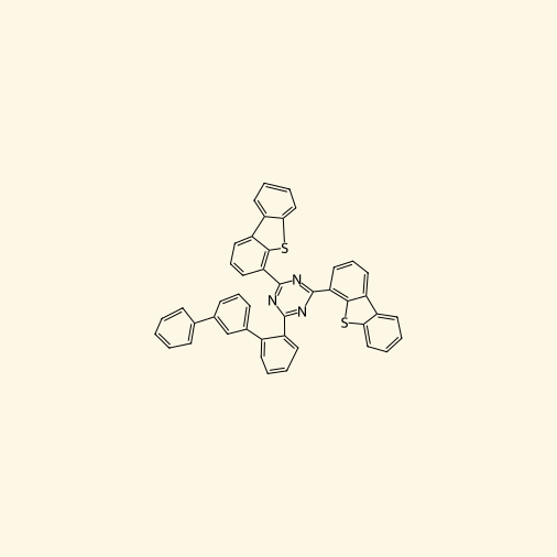 c1ccc(-c2cccc(-c3ccccc3-c3nc(-c4cccc5c4sc4ccccc45)nc(-c4cccc5c4sc4ccccc45)n3)c2)cc1